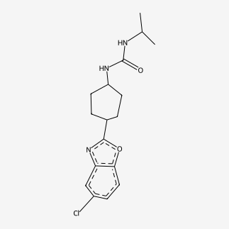 CC(C)NC(=O)NC1CCC(c2nc3cc(Cl)ccc3o2)CC1